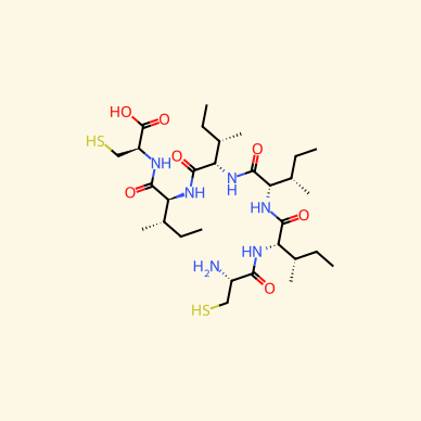 CC[C@H](C)[C@H](NC(=O)[C@@H](NC(=O)[C@@H](NC(=O)[C@@H](NC(=O)[C@@H](N)CS)[C@@H](C)CC)[C@@H](C)CC)[C@@H](C)CC)C(=O)N[C@@H](CS)C(=O)O